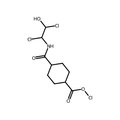 O=C(NC(Cl)C(O)Cl)C1CCC(C(=O)OCl)CC1